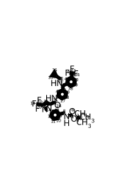 CC(C)(C)OC(=O)NCc1cccc(-n2nc(C(F)(F)F)cc2C(=O)Nc2cccc(C(NCC3CC3)c3cccc(C(F)(F)F)c3)c2)c1